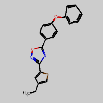 CCc1[c]sc(-c2noc(-c3ccc(Oc4ccccc4)cc3)n2)c1